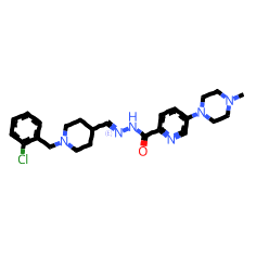 CN1CCN(c2ccc(C(=O)N/N=C/C3CCN(Cc4ccccc4Cl)CC3)nc2)CC1